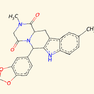 Cc1ccc2[nH]c3c(c2c1)CC1C(=O)N(C)CC(=O)N1C3c1ccc2c(c1)OCO2